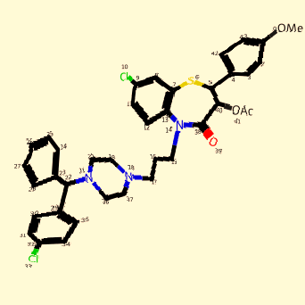 COc1ccc(C2Sc3cc(Cl)ccc3N(CCCN3CCN(C(c4ccccc4)c4ccc(Cl)cc4)CC3)C(=O)C2OC(C)=O)cc1